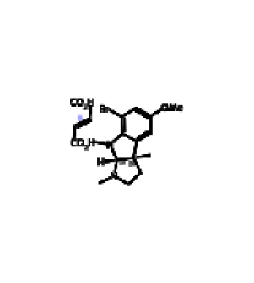 COc1cc(Br)c2c(c1)[C@]1(C)CCN(C)[C@@H]1N2C.O=C(O)/C=C/C(=O)O